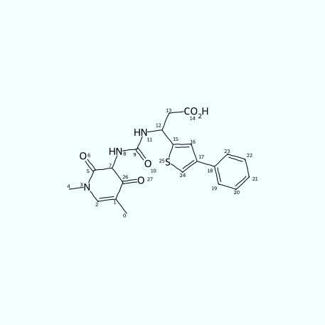 CC1=CN(C)C(=O)C(NC(=O)NC(CC(=O)O)c2cc(-c3ccccc3)cs2)C1=O